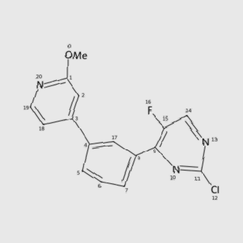 COc1cc(-c2cccc(-c3nc(Cl)ncc3F)c2)ccn1